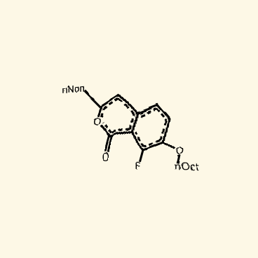 CCCCCCCCCc1cc2ccc(OCCCCCCCC)c(F)c2c(=O)o1